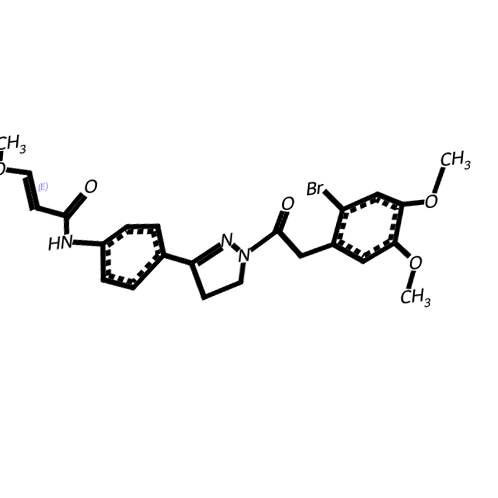 CO/C=C/C(=O)Nc1ccc(C2=NN(C(=O)Cc3cc(OC)c(OC)cc3Br)CC2)cc1